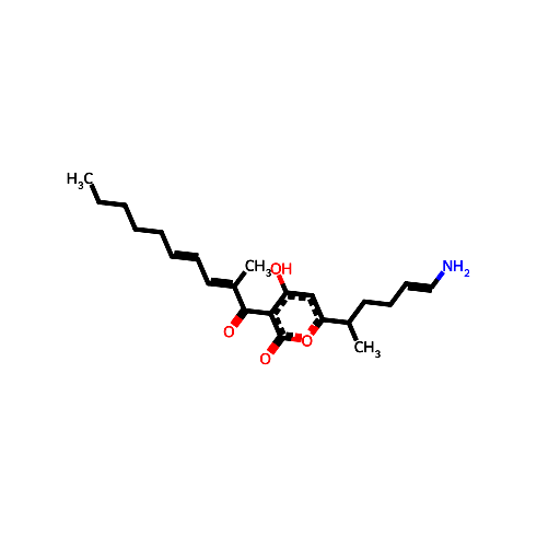 CCCCC/C=C/C=C(\C)C(=O)c1c(O)cc(C(C)CC/C=C/N)oc1=O